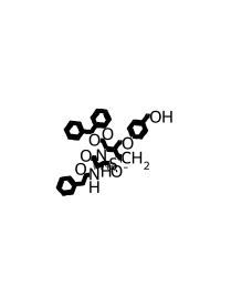 C=C1C(COc2ccc(CO)cc2)=C(C(=O)OC(c2ccccc2)c2ccccc2)N2C(=O)[C@@H](NC(=O)Cc3ccccc3)[C@H]2[S@@+]1[O-]